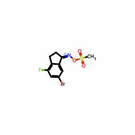 CS(=O)(=O)O/N=C1/CCc2c(F)cc(Br)cc21